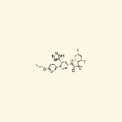 CCCOc1ccc(-c2ccc(NC(=O)C3(c4ccc(F)cc4F)CC3)cc2-c2nnn[nH]2)cn1